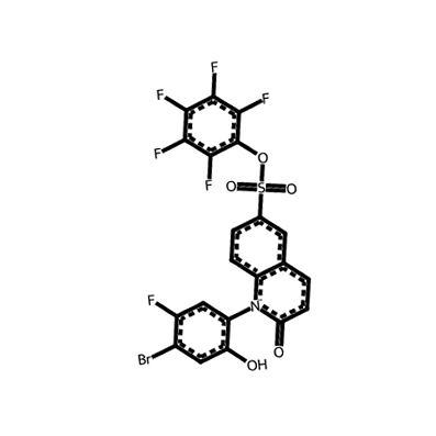 O=c1ccc2cc(S(=O)(=O)Oc3c(F)c(F)c(F)c(F)c3F)ccc2n1-c1cc(F)c(Br)cc1O